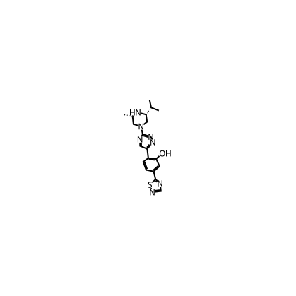 CC(C)[C@@H]1CN(c2ncc(-c3ccc(-c4ncns4)cc3O)nn2)C[C@H](C)N1